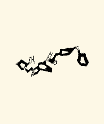 CC1CCCN1CCn1ncc2ccc(NC(=O)Cc3ccc(Oc4ccccc4)cc3)cc21